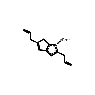 C=CCC1=Cc2cc(CC=C)n(CCCCC)c2C1